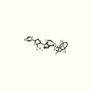 Cc1nc(-n2cncn2)ccc1-n1ccc2c(OC3C[C@@H]4CC[C@@H](C3)N4C(=O)C(F)(F)F)ncnc21